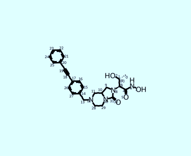 C[C@@H](O)[C@@H](C(=O)NO)N1CC2CN(Cc3ccc(C#Cc4ccccc4)cc3)CCN2C1=O